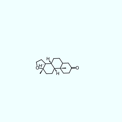 C[C@]12CCC(=O)CC1CC[C@@H]1[C@H]2CC[C@]2(C)OCC[C@@H]12